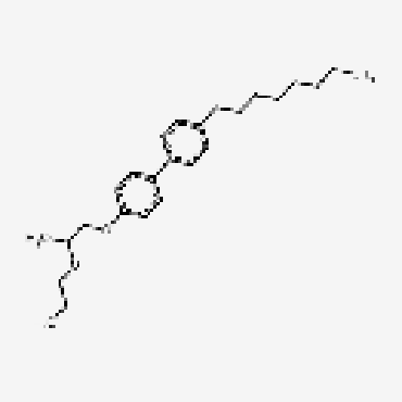 CCCCCCCCc1ccc(-c2ccc(OCC(C)OCCC)cc2)nc1